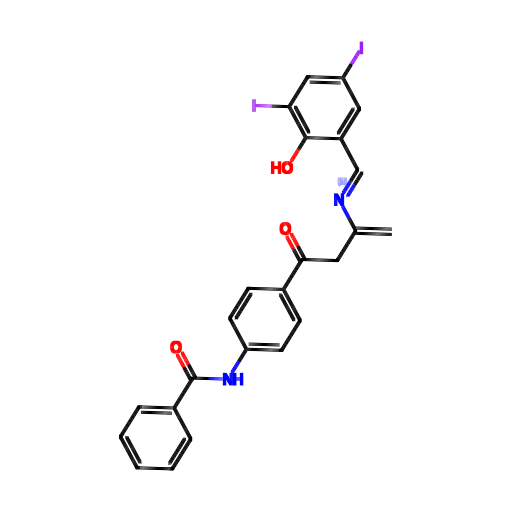 C=C(CC(=O)c1ccc(NC(=O)c2ccccc2)cc1)/N=C/c1cc(I)cc(I)c1O